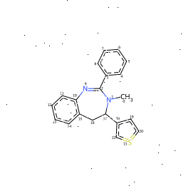 CN1C(c2ccccc2)=Nc2ccccc2CC1c1ccsc1